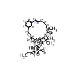 C=C[C@@H]1C[C@]1(NC(=O)[C@@H]1C[C@@H]2CN1C(=O)[C@H](C(C)(C)C)NC(=O)N(C)CCC/C=C/c1cccc(c1)CO2)S(=O)(=O)C1CC1